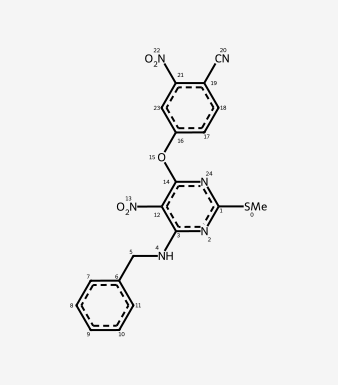 CSc1nc(NCc2ccccc2)c([N+](=O)[O-])c(Oc2ccc(C#N)c([N+](=O)[O-])c2)n1